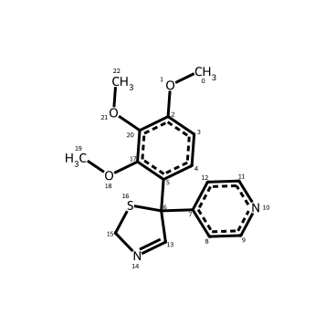 COc1ccc(C2(c3ccncc3)C=NCS2)c(OC)c1OC